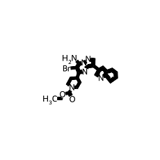 CCOC(=O)N1CCC(c2nc3c(-c4cnc5ccccc5c4)cnn3c(N)c2Br)CC1